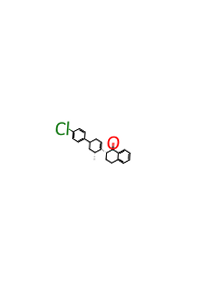 C[C@@H]1CC(c2ccc(Cl)cc2)CC=C1[C@H]1CCc2ccccc2C1=O